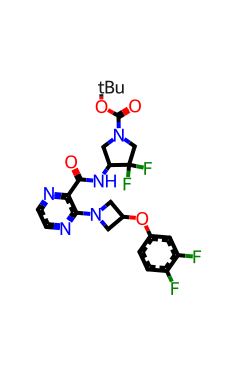 CC(C)(C)OC(=O)N1CC(NC(=O)c2nccnc2N2CC(Oc3ccc(F)c(F)c3)C2)C(F)(F)C1